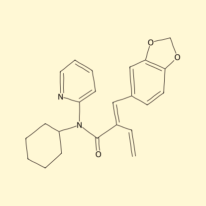 C=C/C(=C\c1ccc2c(c1)OCO2)C(=O)N(c1ccccn1)C1CCCCC1